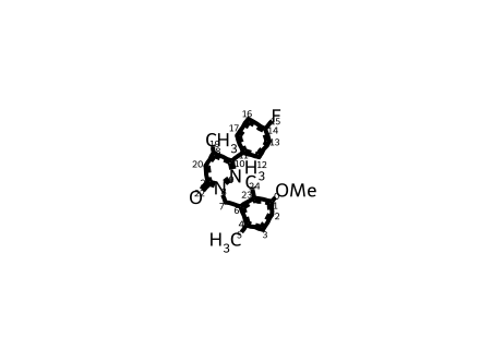 COc1ccc(C)c(Cn2nc(-c3ccc(F)cc3)c(C)cc2=O)c1C